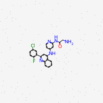 NCC(=O)Nc1cc(Nc2cc(-c3cc(Cl)ccc3F)nc3ccccc23)ccn1